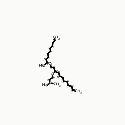 C=CCCCCCCCC(O)OCCC(CCCCCCCC=C)OCCN(C)C